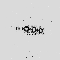 COc1cc(C(C)(C)C)ccc1N1CCC(N2CCCC2)CC1